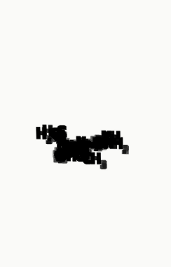 CCN(CC)CCN(c1ccc2c(c1)nc(CCc1ccc(C(=N)N)cc1)n2CC(C)O)S(=O)(=O)c1ccccc1